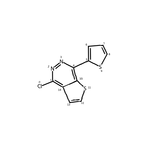 Clc1nnc(-c2cccs2)c2sccc12